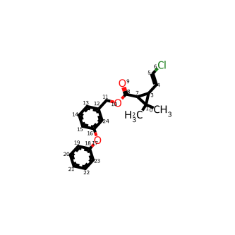 CC1(C)C(C=CCl)C1C(=O)OCc1cccc(Oc2ccccc2)c1